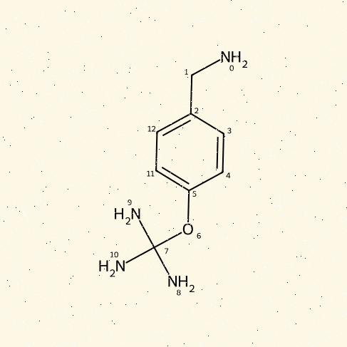 NCc1ccc(OC(N)(N)N)cc1